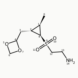 C[C@@H]1[C@@H](CC2OCO2)[C@@H]1S(=O)(=O)CCN